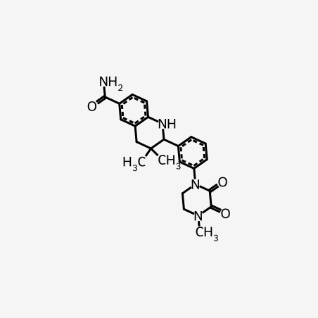 CN1CCN(c2cccc(C3Nc4ccc(C(N)=O)cc4CC3(C)C)c2)C(=O)C1=O